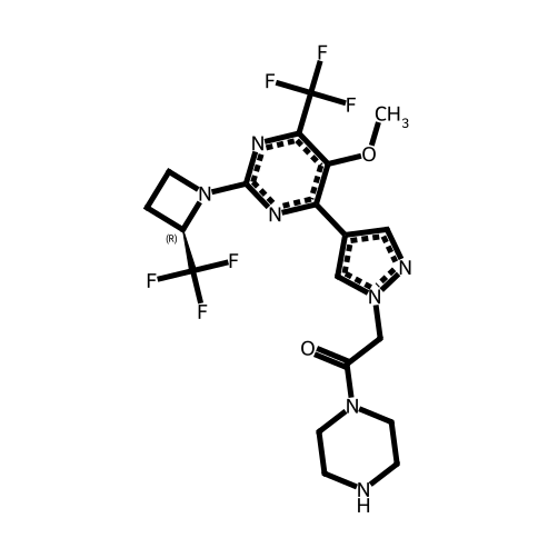 COc1c(-c2cnn(CC(=O)N3CCNCC3)c2)nc(N2CC[C@@H]2C(F)(F)F)nc1C(F)(F)F